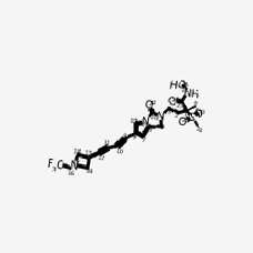 C[C@@](CCN1Cc2cc(C#CC#CC3CN(CC(F)(F)F)C3)cn2C1=O)(C(=O)NO)S(C)(=O)=O